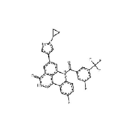 O=C(Nc1cc(-c2cnn(C3CC3)c2)cc2c(=O)[nH]cc(-c3cc(F)ccc3Cl)c12)c1cc(F)cc(C(F)(F)F)c1